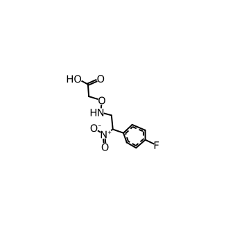 O=C(O)CONCC(c1ccc(F)cc1)[N+](=O)[O-]